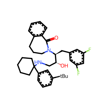 CC(C)(C)c1cccc(C2(NC[C@@H](O)[C@H](Cc3cc(F)cc(F)c3)N3CCCc4ccccc4C3=O)CCCCC2)c1